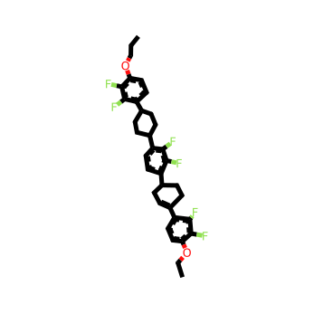 CCCOc1ccc(C2CCC(c3ccc(C4CC=C(c5ccc(OCC)c(F)c5F)CC4)c(F)c3F)CC2)c(F)c1F